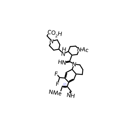 CN/C=C(\C=N)C1=CC2CCCN(C(=N)C3CN(C(C)=O)CCC3NC3CCN(CC(=O)O)CC3)C2C=C1C(F)F